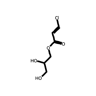 O=C(C=CCl)OCC(O)CO